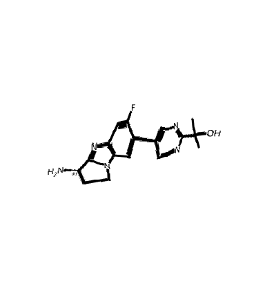 CC(C)(O)c1ncc(-c2cc3c(cc2F)nc2n3CC[C@H]2N)cn1